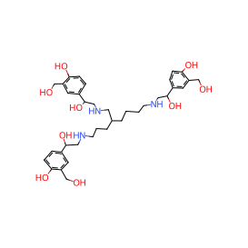 OCc1cc(C(O)CNCCCCC(CCCNCC(O)c2ccc(O)c(CO)c2)CNCC(O)c2ccc(O)c(CO)c2)ccc1O